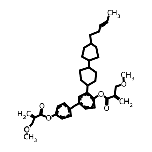 C=C(COC)C(=O)Oc1ccc(-c2ccc(OC(=O)C(=C)COC)c(C3CCC(C4CCC(CC/C=C/C)CC4)CC3)c2)cc1